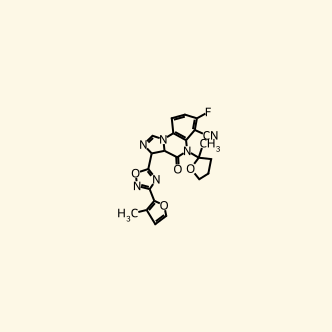 Cc1ccoc1-c1noc(C2N=CN3c4ccc(F)c(C#N)c4N(C4(C)CCCO4)C(=O)C23)n1